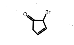 O=C1CC=CC1Br